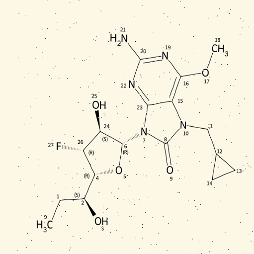 CC[C@H](O)[C@H]1O[C@@H](n2c(=O)n(CC3CC3)c3c(OC)nc(N)nc32)[C@H](O)[C@H]1F